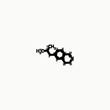 CC(C)Cc1ccc2c(c1)CCN=C2